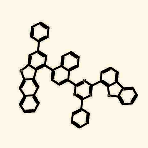 c1ccc(-c2cc(-c3ccc(-c4nc(-c5ccccc5)nc(-c5cccc6c5oc5ccccc56)n4)c4ccccc34)c3c(c2)oc2cc4ccccc4cc23)cc1